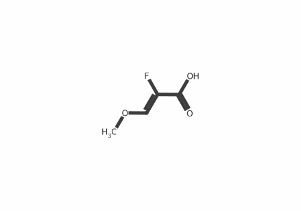 COC=C(F)C(=O)O